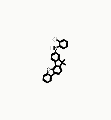 CC1(C)c2cc(Nc3ccccc3Cl)ccc2-c2c1ccc1c2oc2ccccc21